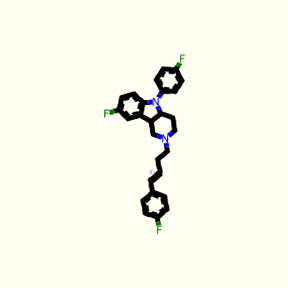 Fc1ccc(/C=C/CCN2CCC3C(C2)c2cc(F)ccc2N3c2ccc(F)cc2)cc1